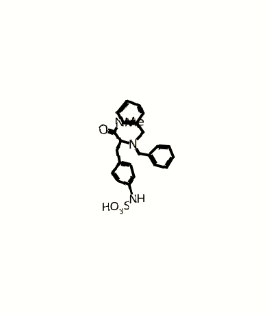 CNC(=O)C(Cc1ccc(NS(=O)(=O)O)cc1)N(Cc1ccccc1)Cc1ccccc1